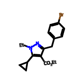 CCOC(=O)c1c(Cc2ccc(Br)cc2)nn(CC)c1C1CC1